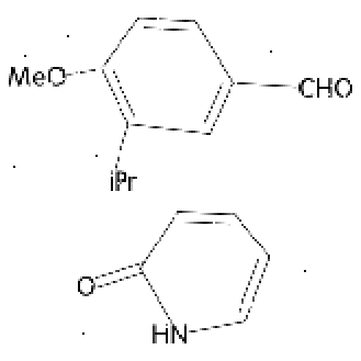 COc1ccc(C=O)cc1C(C)C.O=c1cccc[nH]1